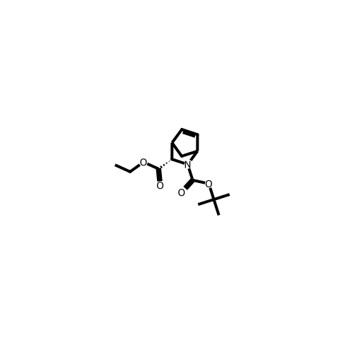 CCOC(=O)[C@@H]1C2C=CC(C2)N1C(=O)OC(C)(C)C